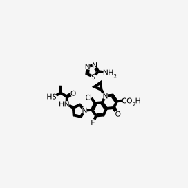 CC(S)C(=O)NC1CCN(c2c(F)cc3c(=O)c(C(=O)O)cn(C4CC4)c3c2Cl)C1.Nc1nncs1